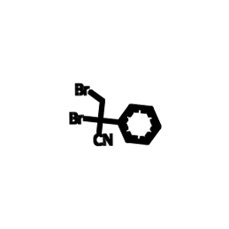 N#CC(Br)(CBr)c1ccccc1